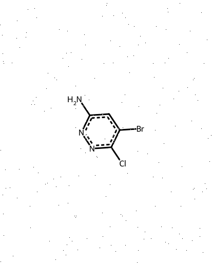 Nc1cc(Br)c(Cl)nn1